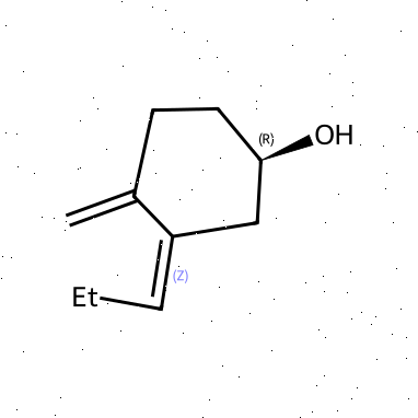 C=C1CC[C@@H](O)C/C1=C/CC